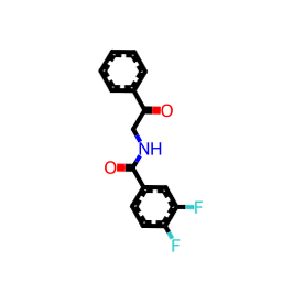 O=C(CNC(=O)c1ccc(F)c(F)c1)c1ccccc1